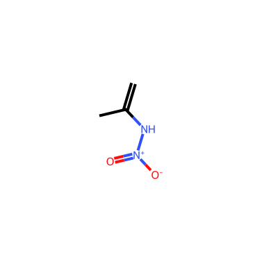 C=C(C)N[N+](=O)[O-]